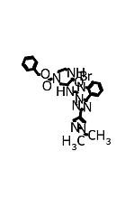 CC(C)n1cc(-c2nc3c4cccc(Br)c4nc(N[C@H]4CN(C(=O)OCc5ccccc5)CCNC4=O)n3n2)cn1